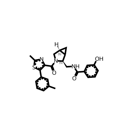 Cc1cccc(-c2sc(C)nc2C(=O)N2C[C@H]3CC3[C@H]2CNC(=O)c2cccc(O)c2)c1